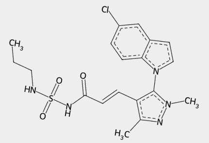 CCCNS(=O)(=O)NC(=O)C=Cc1c(C)nn(C)c1-n1ccc2cc(Cl)ccc21